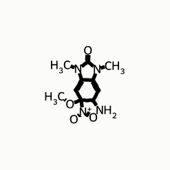 COC1([N+](=O)[O-])C=c2c(n(C)c(=O)n2C)=CC1N